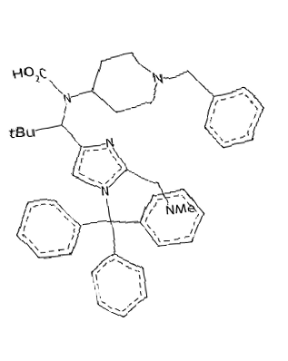 CNCc1nc(C(N(C(=O)O)C2CCN(Cc3ccccc3)CC2)C(C)(C)C)cn1C(c1ccccc1)(c1ccccc1)c1ccccc1